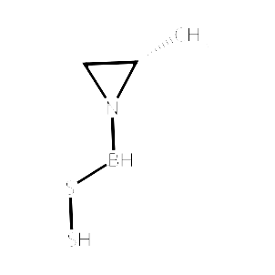 C[C@H]1CN1BSS